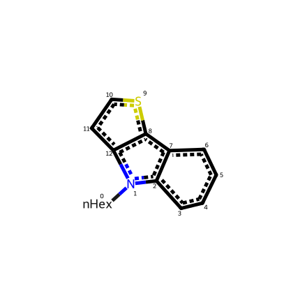 CCCCCCn1c2ccccc2c2sccc21